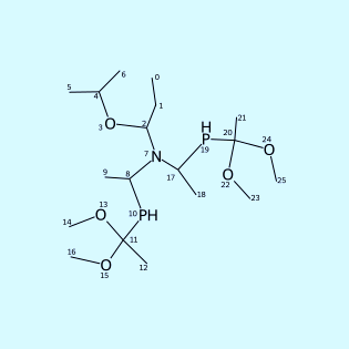 CCC(OC(C)C)N(C(C)PC(C)(OC)OC)C(C)PC(C)(OC)OC